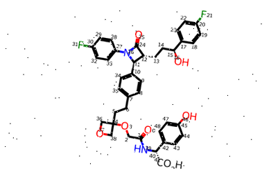 O=C(COC1(CCc2ccc([C@@H]3[C@@H](CC[C@H](O)c4ccc(F)cc4)C(=O)N3c3ccc(F)cc3)cc2)COC1)N[C@@H](C(=O)O)c1ccc(O)cc1